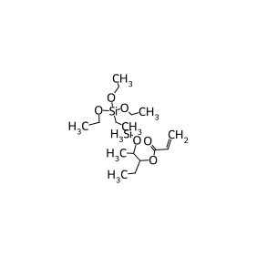 C=CC(=O)OC(CC)C(C)O[SiH3].CCO[Si](CC)(OCC)OCC